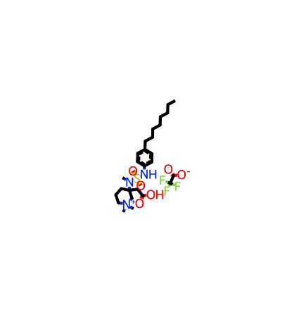 CCCCCCCCc1ccc(NS(=O)(=O)N(C)C2(CC(=O)O)CCC[N+](C)(C)C2)cc1.O=C([O-])C(F)(F)F